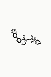 O=C1c2cc(-c3ccc(OC(F)(F)F)cc3)ccc2OCCN1CCNS(=O)(=O)c1ccccc1